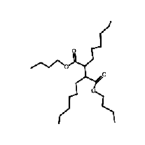 CCCCCCC(C(=O)OCCCC)C(CCCCCC)C(=O)OCCCC